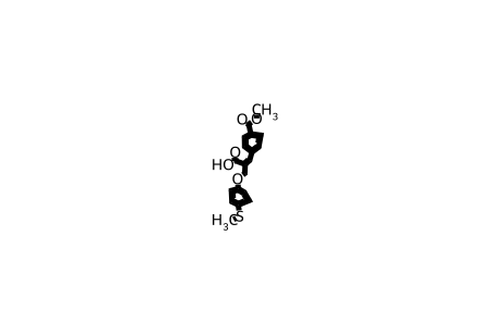 COC(=O)c1ccc(C=C(COc2ccc(SC)cc2)C(=O)O)cc1